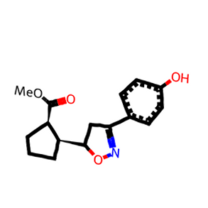 COC(=O)[C@@H]1CCC[C@@H]1C1CC(c2ccc(O)cc2)=NO1